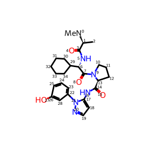 CN[C@@H](C)C(=O)N[C@H](C(=O)N1CCC[C@H]1C(=O)Nc1ccnn1-c1cccc(O)c1)C1CCCCC1